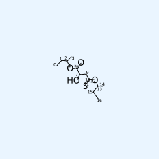 CCC(C)OC(=O)C(O)CC(=S)OC(C)CC